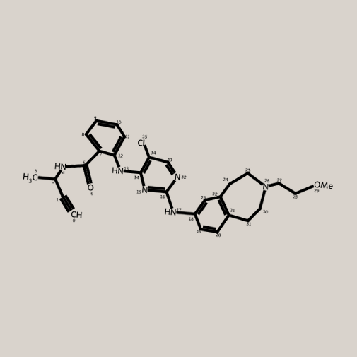 C#CC(C)NC(=O)c1ccccc1Nc1nc(Nc2ccc3c(c2)CCN(CCOC)CC3)ncc1Cl